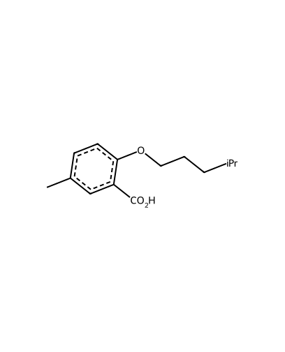 Cc1ccc(OCCCC(C)C)c(C(=O)O)c1